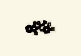 O=C(CBr)[C@H](Cc1ccc(Cl)c(Cl)c1)N1C(=O)c2ccccc2C1=O